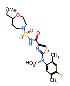 COCC1CCN(S(=O)(=O)NC(=O)c2coc(N(C(=O)O)c3cc(C)c(F)cc3C)n2)CCO1